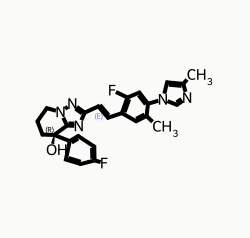 Cc1cn(-c2cc(F)c(/C=C/c3nc4n(n3)CCC[C@@]4(O)c3ccc(F)cc3)cc2C)cn1